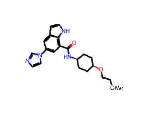 COCCO[C@H]1CC[C@@H](NC(=O)c2cc(-n3ccnc3)cc3cc[nH]c23)CC1